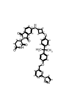 CC(C)(c1ccc(OCc2ccnc(-n3ccnn3)n2)cc1)c1ccc(OC2CC(Nc3ccc4c(c3)C(=O)N(C3CCC(=O)NC3=O)C4=O)C2)cc1